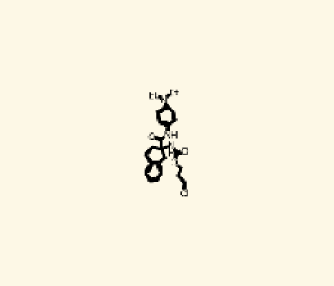 CCN(CC)c1ccc(NC(=O)C2(NC(=O)OCCCCl)CCc3ccccc3C2)cc1